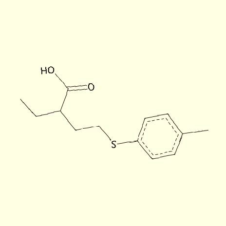 CCC(CCSc1ccc(C)cc1)C(=O)O